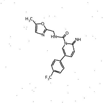 Cc1cnc(CNC(=O)n2cc(-c3ccc(C(F)(F)F)cc3)ccc2=N)o1